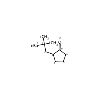 CCCCC(C)(C)CC1CCCC1=O